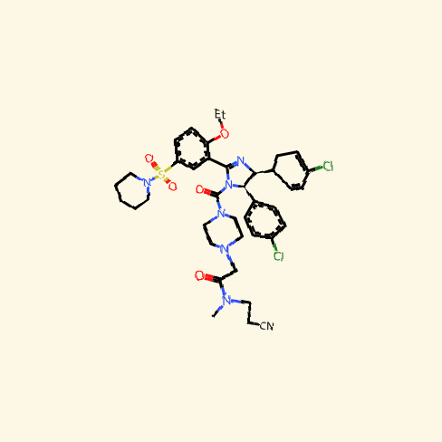 CCOc1ccc(S(=O)(=O)N2CCCCC2)cc1C1=N[C@@H](C2C=CC(Cl)=CC2)[C@@H](c2ccc(Cl)cc2)N1C(=O)N1CCN(CC(=O)N(C)CCC#N)CC1